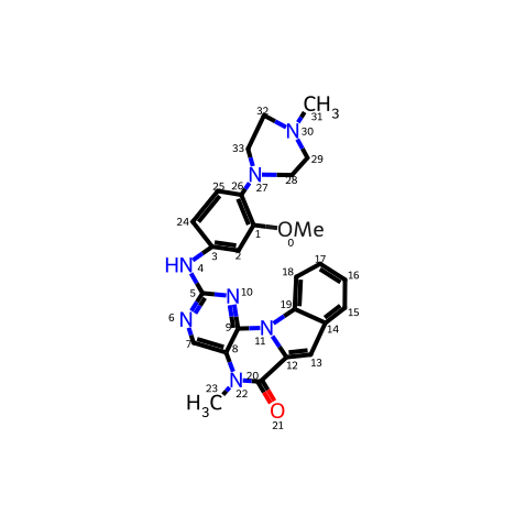 COc1cc(Nc2ncc3c(n2)n2c(cc4ccccc42)c(=O)n3C)ccc1N1CCN(C)CC1